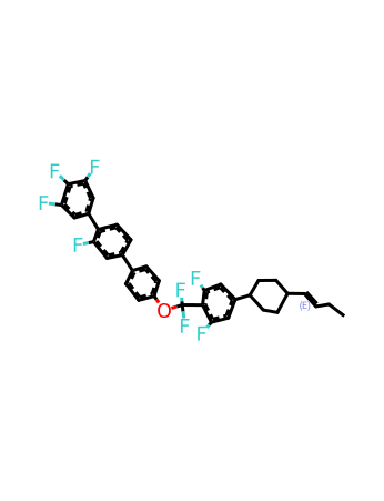 CC/C=C/C1CCC(c2cc(F)c(C(F)(F)Oc3ccc(-c4ccc(-c5cc(F)c(F)c(F)c5)c(F)c4)cc3)c(F)c2)CC1